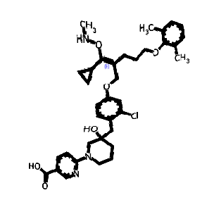 CNO/C(=C(\CCCOc1c(C)cccc1C)COc1ccc(CC2(O)CCCN(c3ccc(C(=O)O)cn3)C2)c(Cl)c1)C1CC1